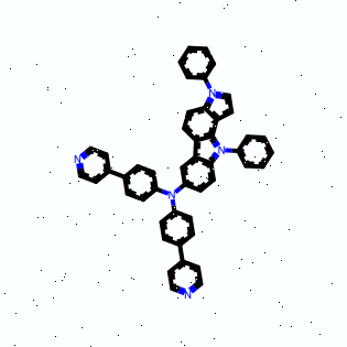 c1ccc(-n2ccc3c2ccc2c4cc(N(c5ccc(-c6ccncc6)cc5)c5ccc(-c6ccncc6)cc5)ccc4n(-c4ccccc4)c23)cc1